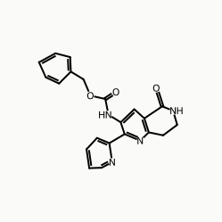 O=C(Nc1cc2c(nc1-c1ccccn1)CCNC2=O)OCc1ccccc1